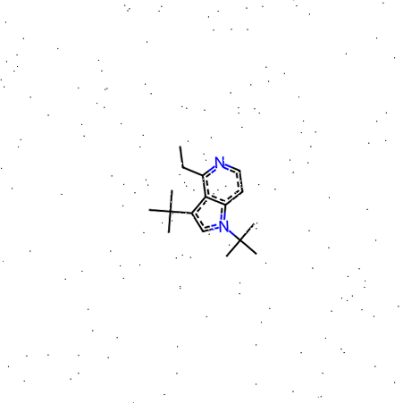 CCc1nccc2c1c(C(C)(C)C)cn2C(C)(C)C